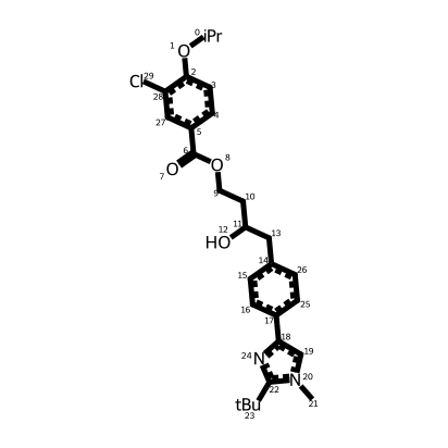 CC(C)Oc1ccc(C(=O)OCCC(O)Cc2ccc(-c3cn(C)c(C(C)(C)C)n3)cc2)cc1Cl